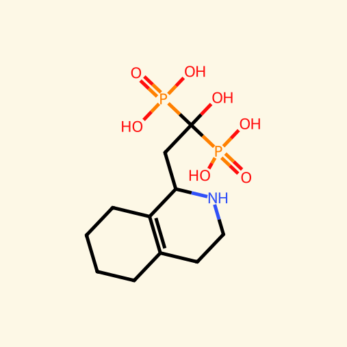 O=P(O)(O)C(O)(CC1NCCC2=C1CCCC2)P(=O)(O)O